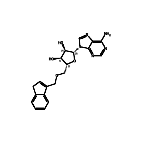 Nc1ncnc2c1ncn2[C@@H]1O[C@H](COCC2=CCc3ccccc32)[C@@H](O)[C@H]1O